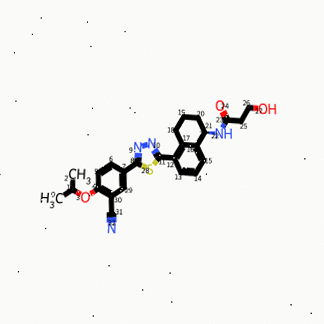 CC(C)Oc1ccc(-c2nnc(-c3cccc4c3CCC[C@H]4NC(=O)CCO)s2)cc1C#N